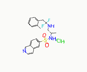 Cc1ccccc1CC(F)(F)NCC(C)NS(=O)(=O)c1ccc2cnccc2c1.Cl